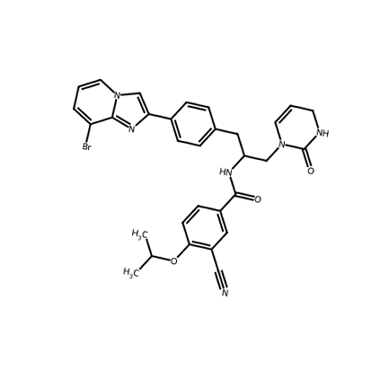 CC(C)Oc1ccc(C(=O)NC(Cc2ccc(-c3cn4cccc(Br)c4n3)cc2)CN2C=CCNC2=O)cc1C#N